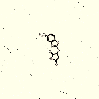 Cc1ccc2sc(SC3CC(=O)NC3=O)nc2c1